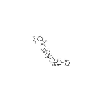 O=C(NCC(=O)N1CC[C@H]2[C@@H]1CCN2C1CCC(O)(c2ncc(-c3ccccn3)cc2F)CC1)c1cccc(C(F)(F)F)c1